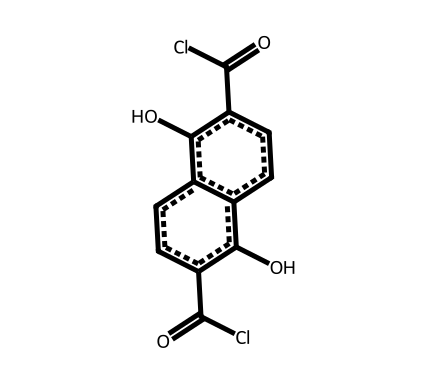 O=C(Cl)c1ccc2c(O)c(C(=O)Cl)ccc2c1O